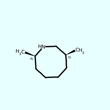 C[C@H]1CCCC[C@@H](C)NC1